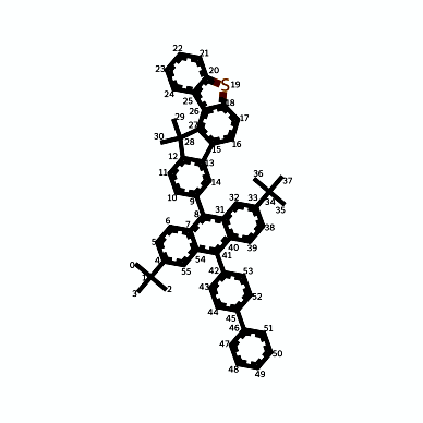 CC(C)(C)c1ccc2c(-c3ccc4c(c3)-c3ccc5sc6ccccc6c5c3C4(C)C)c3cc(C(C)(C)C)ccc3c(-c3ccc(-c4ccccc4)cc3)c2c1